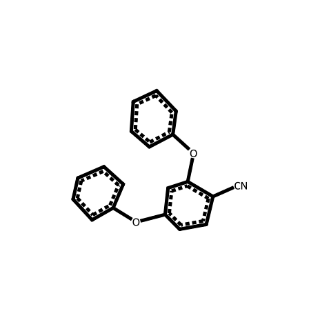 N#Cc1ccc(Oc2ccccc2)cc1Oc1ccccc1